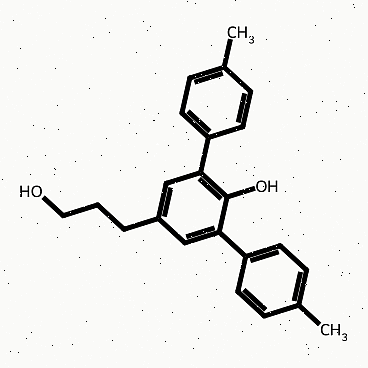 Cc1ccc(-c2cc(CCCO)cc(-c3ccc(C)cc3)c2O)cc1